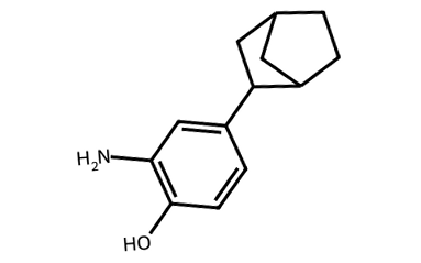 Nc1cc(C2CC3CCC2C3)ccc1O